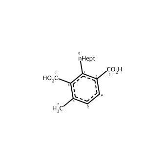 CCCCCCCc1c(C(=O)O)ccc(C)c1C(=O)O